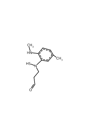 CNc1ccc(C)cc1N(S)CCC=O